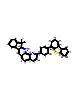 CC1(C)c2ccccc2-c2cc3ccc4ccc(-c5ccc(-c6cccc7c6sc6ccccc67)cc5)nc4c3nc21